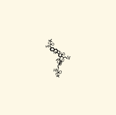 CCC1(OC(=O)CCNC(=O)OC(C)(C)C)C(=O)OC(CC[Si](C)(C)C)c2c1cc1n(c2=O)Cc2cc3cc(NC(=O)OC(C)(C)C)ccc3nc2-1